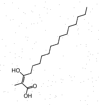 CCCCCCCCCCCCCCC(O)=C(C)C(=O)O